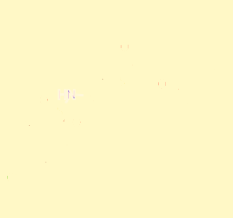 O=C(COc1ccccc1)SCCNS(=O)(=O)c1ccc(Cl)cc1